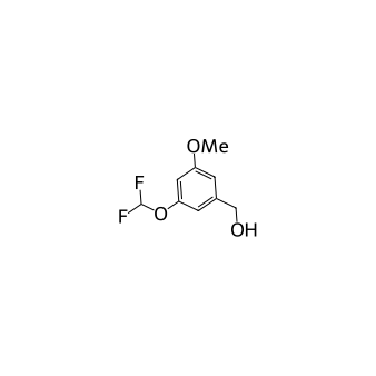 COc1cc(CO)cc(OC(F)F)c1